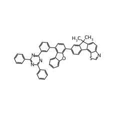 CC1(C)c2cc(-c3ccc(-c4cccc(-c5nc(-c6ccccc6)nc(-c6ccccc6)n5)c4)c4c3oc3ccccc34)ccc2-c2c1ccc1ncsc21